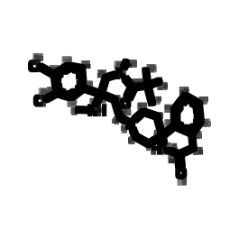 CNC(CCN1CCC2(CC1)NC(=O)Cc1ccccc12)(CN(C)C(=O)C(C)(C)C)c1ccc(Cl)c(Cl)c1